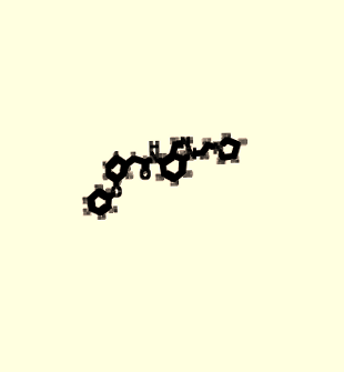 O=C(Cc1cccc(Oc2ccccc2)c1)Nc1cccc2c1cnn2CCN1CCCC1